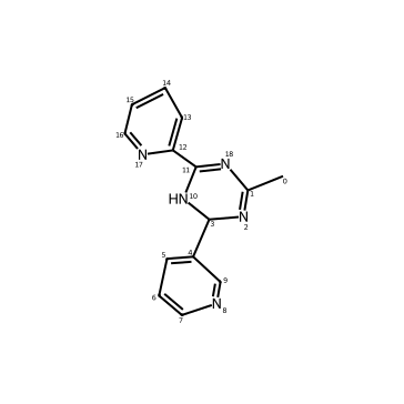 CC1=NC(c2cccnc2)NC(c2ccccn2)=N1